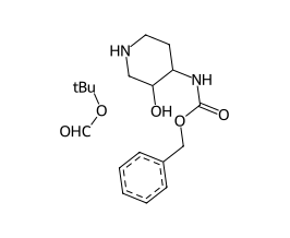 CC(C)(C)OC=O.O=C(NC1CCNCC1O)OCc1ccccc1